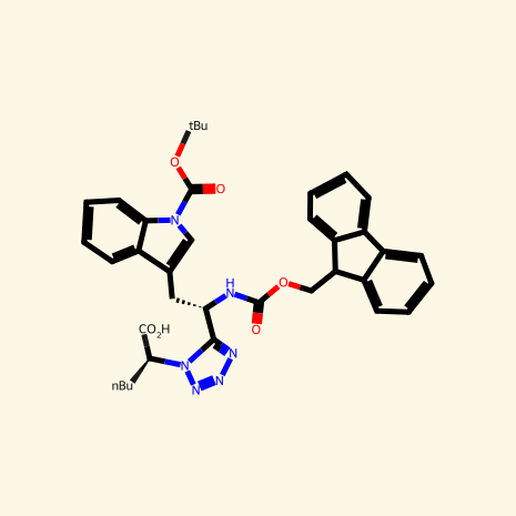 CCCC[C@@H](C(=O)O)n1nnnc1[C@H](Cc1cn(C(=O)OC(C)(C)C)c2ccccc12)NC(=O)OCC1c2ccccc2-c2ccccc21